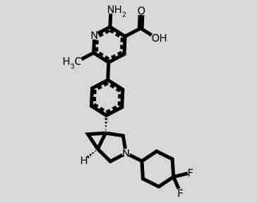 Cc1nc(N)c(C(=O)O)cc1-c1ccc([C@@]23C[C@@H]2CN(C2CCC(F)(F)CC2)C3)cc1